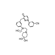 N#Cc1cccc(-n2ccc(=O)c(Cc3cccc(N(CCN4CCS(O)(O)CC4)C(=O)O)c3)n2)c1